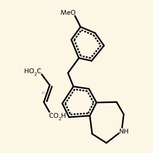 COc1cccc(Cc2ccc3c(c2)CCNCC3)c1.O=C(O)/C=C/C(=O)O